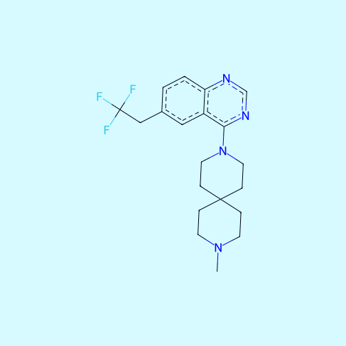 CN1CCC2(CC1)CCN(c1ncnc3ccc(CC(F)(F)F)cc13)CC2